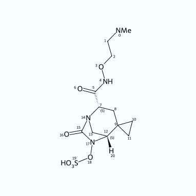 CNCCONC(=O)[C@@H]1CC2(CC2)[C@H]2CN1C(=O)N2OS(=O)(=O)O